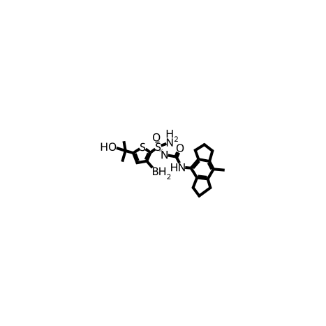 Bc1cc(C(C)(C)O)sc1S(N)(=O)=NC(=O)Nc1c2c(c(C)c3c1CCC3)CCC2